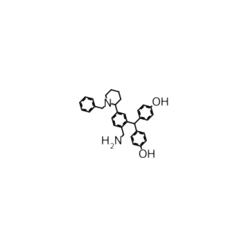 NCc1ccc(C2CCCCN2Cc2ccccc2)cc1C(c1ccc(O)cc1)c1ccc(O)cc1